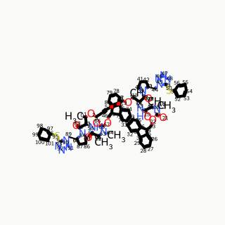 CC(OCC#CC#CCOC(C)[C@H](NC(=O)[C@H](C)N(C)C(=O)OCC1c2ccccc2-c2ccccc21)C(=O)N1CCC[C@H]1Cn1nnnc1Sc1ccccc1)[C@H](NC(=O)[C@H](C)N(C)C(=O)OCC1c2ccccc2-c2ccccc21)C(=O)N1CCC[C@H]1Cn1nnnc1Sc1ccccc1